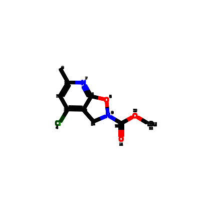 Cc1cc(Cl)c2c(n1)ON(C(=O)OC(C)(C)C)C2